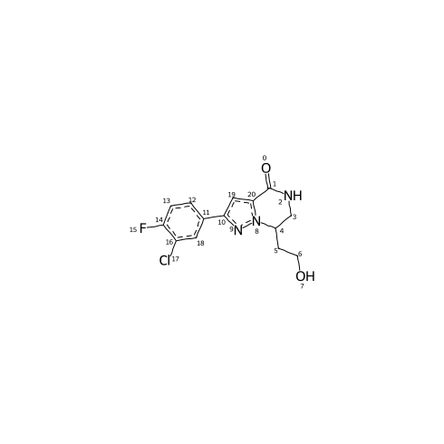 O=C1NCC(CCO)n2nc(-c3ccc(F)c(Cl)c3)cc21